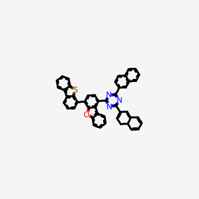 C1=CC2=CC(c3nc(-c4ccc5ccccc5c4)nc(-c4ccc(-c5cccc6c5sc5ccccc56)c5oc6ccccc6c45)n3)=CCC2C=C1